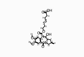 C=C1CC2C(O)N(C(=O)OCCSSCCC(=O)O)c3cc(OC)c(OC)cc3C(=O)N2C1